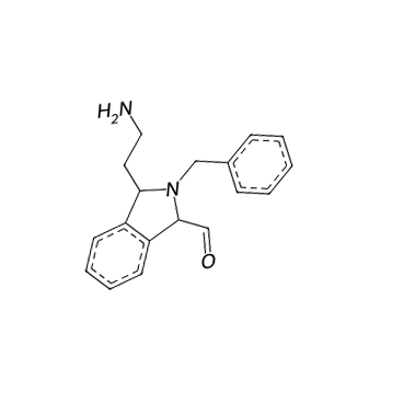 NCCC1c2ccccc2C(C=O)N1Cc1ccccc1